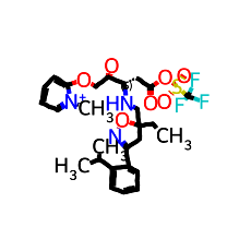 CCC1(CN[C@@H](CC(=O)OS(=O)(=O)C(F)(F)F)C(=O)COc2cccc[n+]2C)CC(c2ccccc2C(C)C)=NO1